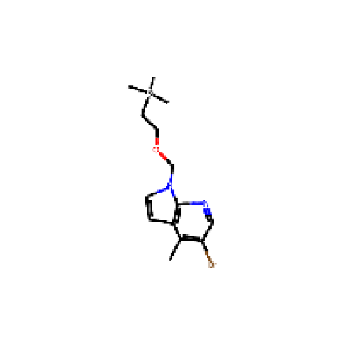 Cc1c(Br)cnc2c1ccn2COCC[Si](C)(C)C